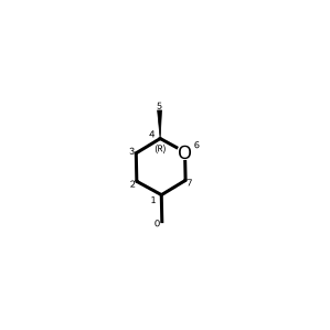 CC1CC[C@@H](C)OC1